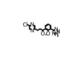 COc1c(C(=O)CCc2cnc(Cl)cn2)cccc1-c1nnn(C)n1